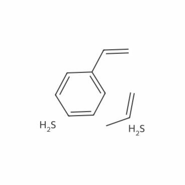 C=CC.C=Cc1ccccc1.S.S